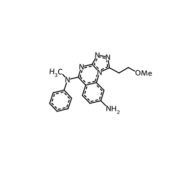 COCCc1nnc2nc(N(C)c3ccccc3)c3ccc(N)cc3n12